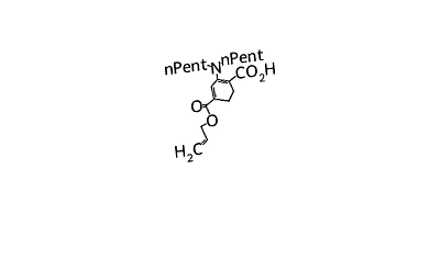 C=CCOC(=O)C1=CC(N(CCCCC)CCCCC)=C(C(=O)O)CC1